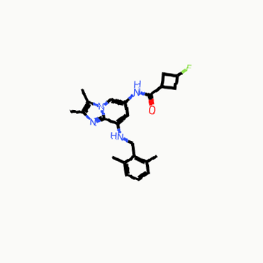 Cc1cccc(C)c1CNc1cc(NC(=O)C2CC(F)C2)cn2c(C)c(C)nc12